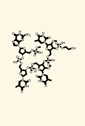 COC1C(OP(=O)(S)OCCO)C(COP(=O)(S)OC2C(COP(=O)(S)O[C@@H]3C[C@H](n4cc(C)c(=O)[nH]c4=O)OC3COP(=O)(S)O[C@@H]3C[C@H](n4cnc5c(=O)[nH]c(N)nc54)OC3COP(=O)(S)OC)OC(n3cc(C)c(=O)[nH]c3=O)C2OC)OC1n1cc(C)c(=O)[nH]c1=O